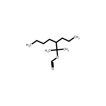 CCCCC(CCC)C(C)(C)OC=O